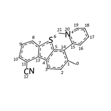 Cc1ccc2c(sc3cccc(C#N)c32)c1-c1cccc[n+]1C